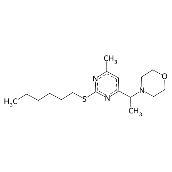 CCCCCCSc1nc(C)cc(C(C)N2CCOCC2)n1